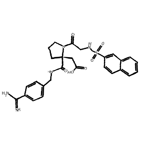 N=C(N)c1ccc(CNC(=O)[C@]2(CC(=O)O)CCCN2C(=O)CNS(=O)(=O)c2ccc3ccccc3c2)cc1